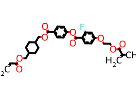 C=CC(=O)OCC1CCC(COC(=O)c2ccc(OC(=O)c3ccc(OCCOC(=O)C(=C)C)cc3F)cc2)CC1